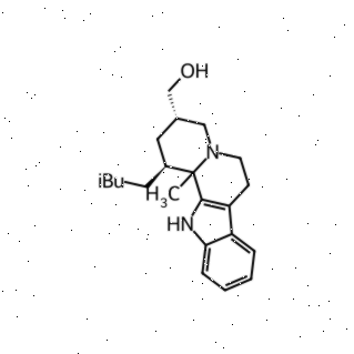 CCC(C)C[C@H]1C[C@H](CO)CN2CCc3c([nH]c4ccccc34)C12C